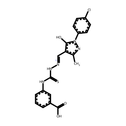 Cc1nn(-c2ccc(Cl)cc2)c(O)c1/C=N/NC(=S)Nc1cccc(C(=O)O)c1